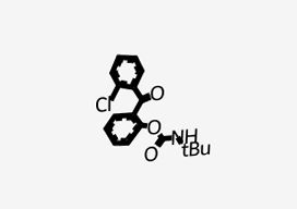 CC(C)(C)NC(=O)Oc1ccccc1C(=O)c1ccccc1Cl